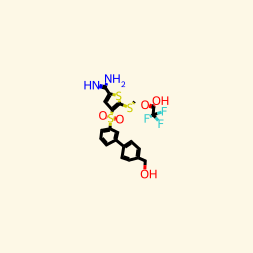 CSc1sc(C(=N)N)cc1S(=O)(=O)c1cccc(-c2ccc(CO)cc2)c1.O=C(O)C(F)(F)F